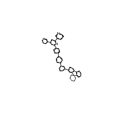 c1cncc(-c2cc(-c3ccc(-c4ccc(-c5cccc(-c6ccc7c(c6)C6(CCCCC6)c6ccccc6-7)c5)cc4)cc3)nc(-c3cccnc3)c2)c1